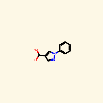 OC(O)c1cnn(-c2ccccc2)c1